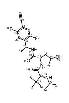 C#Cc1cc(F)c([C@H](C)NC(=O)[C@@H]2C[C@@H](O)CN2C(=O)[C@@H](NC(C)C)C(C)(C)C)cc1F